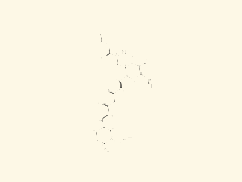 CCCOC(=O)C(N)CC1CC(O)C(OC)CC1/C=C/C(=O)CC(=O)/C=C/C1CCC(O)C(OC)C1